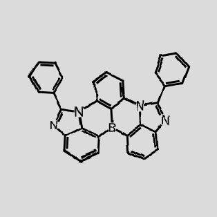 c1ccc(-c2nc3cccc4c3n2-c2cccc3c2B4c2cccc4nc(-c5ccccc5)n-3c24)cc1